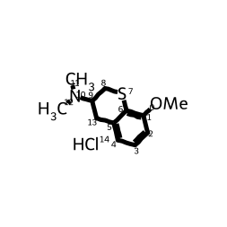 COc1cccc2c1SCC(N(C)C)C2.Cl